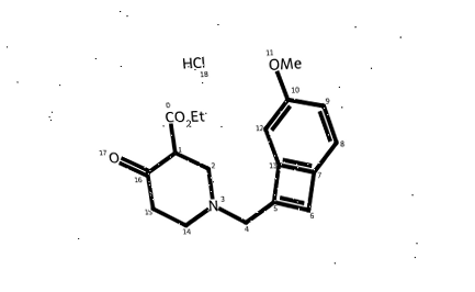 CCOC(=O)C1CN(CC2=Cc3ccc(OC)cc32)CCC1=O.Cl